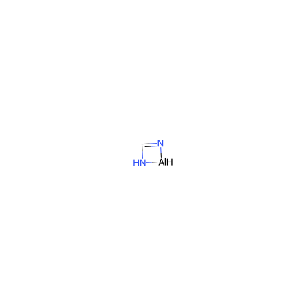 C1=[N][AlH][NH]1